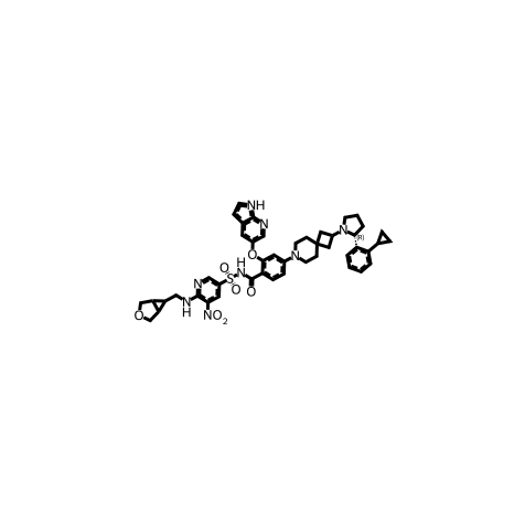 O=C(NS(=O)(=O)c1cnc(NCC2C3COCC23)c([N+](=O)[O-])c1)c1ccc(N2CCC3(CC2)CC(N2CCC[C@@H]2c2ccccc2C2CC2)C3)cc1Oc1cnc2[nH]ccc2c1